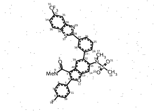 CNC(=O)c1c(-c2ccc(F)cc2)oc2cc(N(C)S(C)(=O)=O)c(-c3cccc(-c4nc5cc(C(F)(F)F)ccc5s4)c3)cc12